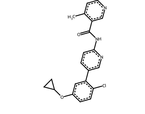 Cc1ccncc1C(=O)Nc1ccc(-c2cc(OC3CC3)ccc2Cl)cn1